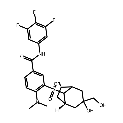 C[C@@H]1C[C@H]2CC(O)(CO)CC1C2S(=O)(=O)c1cc(C(=O)Nc2cc(F)c(F)c(F)c2)ccc1N(C)C